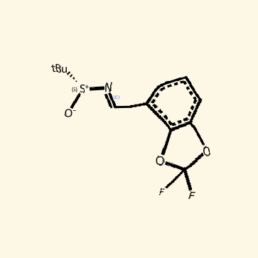 CC(C)(C)[S@@+]([O-])/N=C/c1cccc2c1OC(F)(F)O2